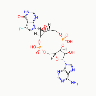 Nc1ncnc2c1ncn2[C@@H]1O[C@@H]2COP(=O)(O)O[C@@H]3[C@H](O)[C@@H](COP(=O)(O)O[C@H]2[C@H]1O)O[C@H]3n1cc(F)c2c(=O)[nH]cnc21